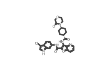 O=C(Nc1ccc2c(Cl)c[nH]c2c1)c1oc2cccnc2c1NC(=O)[C@H]1CC[C@H](N2CCOCC2=O)CC1